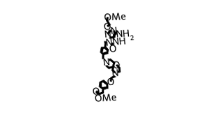 COCCOc1nc(N)c2[nH]c(=O)n(Cc3ccc(CN4CCC5(CC4)CN(CCOc4cccc(CC(=O)OC)c4)CCO5)cc3)c2n1